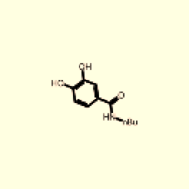 CCCCNC(=O)c1ccc(O)c(O)c1